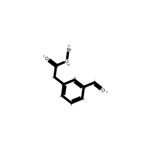 O=Cc1cccc(CC(=O)OBr)c1